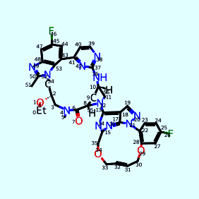 CCO[C@H]1CN(C)C(=O)[C@@H]2C[C@@H](CN2c2nc3nc4c2cnn4-c2ccc(F)cc2OC/C=C/COC3)Nc2nccc(n2)-c2cc(F)cc3nc(C)n(c23)C1